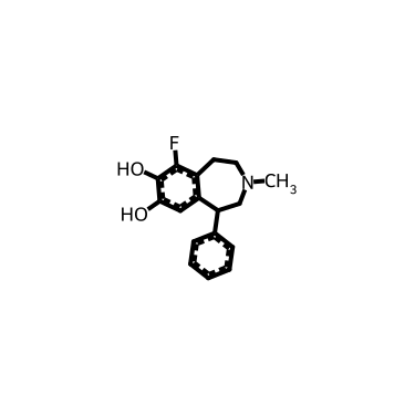 CN1CCc2c(cc(O)c(O)c2F)C(c2ccccc2)C1